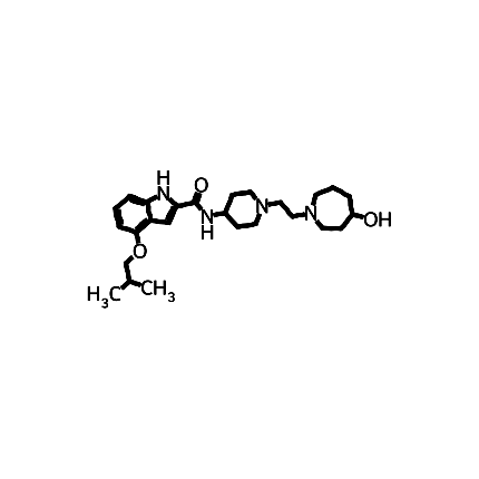 CC(C)COc1cccc2[nH]c(C(=O)NC3CCN(CCN4CCCC(O)CC4)CC3)cc12